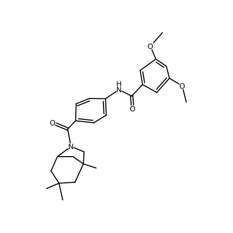 COc1cc(OC)cc(C(=O)Nc2ccc(C(=O)N3CC4(C)CC3CC(C)(C)C4)cc2)c1